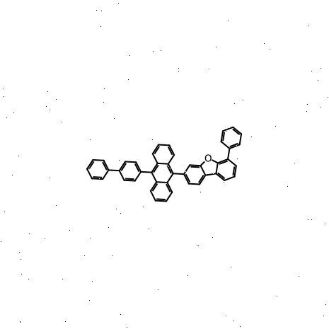 c1ccc(-c2ccc(-c3c4ccccc4c(-c4ccc5c(c4)oc4c(-c6ccccc6)cccc45)c4ccccc34)cc2)cc1